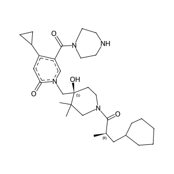 C[C@H](CC1CCCCC1)C(=O)N1CC[C@@](O)(Cn2cc(C(=O)N3CCNCC3)c(C3CC3)cc2=O)C(C)(C)C1